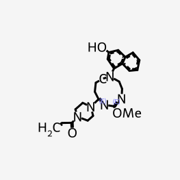 C=CC(=O)N1CCN(/C2=N/C(OC)=N\CCN(c3cc(O)cc4ccccc34)CCC2)CC1